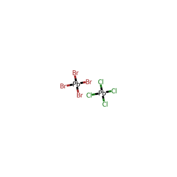 [Br][Pb]([Br])([Br])[Br].[Cl][Pb]([Cl])([Cl])[Cl]